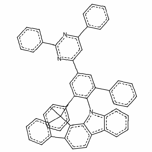 CC1(C)c2ccccc2-c2ccc3c4ccccc4n(-c4c(-c5ccccc5)cc(-c5cc(-c6ccccc6)nc(-c6ccccc6)n5)cc4-c4ccccc4)c3c21